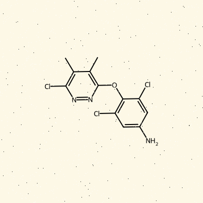 Cc1c(Cl)nnc(Oc2c(Cl)cc(N)cc2Cl)c1C